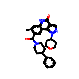 Cc1cc2[nH]c(=O)c3cnn(C4CCOCC4)c3c2cc1C(=O)N1CCC(c2ccccc2)CC1